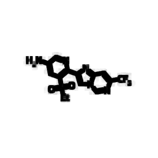 CCS(=O)(=O)c1cc(N)cnc1-c1cn2cnc(C(F)(F)F)cc2n1